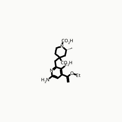 C=C(OCC)c1cc(N)nc(CC2(C(=O)O)CCN(C(=O)O)[C@H](C)C2)c1F